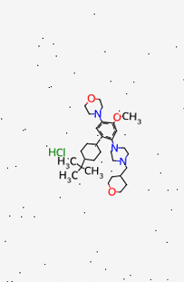 COc1cc(N2CCN(CC3CCOCC3)CC2)c(C2CCC(C(C)(C)C)CC2)cc1N1CCOCC1.Cl